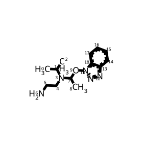 CC(C)N(CCN)C(C)On1nnc2ccccc21